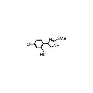 CSC1=NC(c2ccc(Cl)cc2C)CN1.Cl